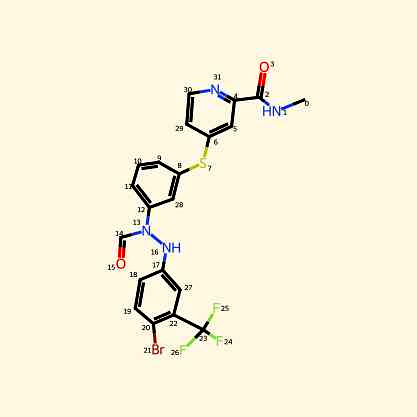 CNC(=O)c1cc(Sc2cccc(N(C=O)Nc3ccc(Br)c(C(F)(F)F)c3)c2)ccn1